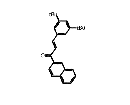 CC(C)(C)c1cc(C=CC(=O)c2ccc3ccccc3c2)cc(C(C)(C)C)c1